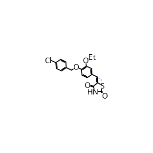 CCOc1cc(/C=C2/SC(=O)NC2=O)ccc1OCc1ccc(Cl)cc1